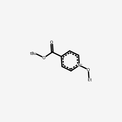 CCO[n+]1ccc(C(=O)OC(C)(C)C)cc1